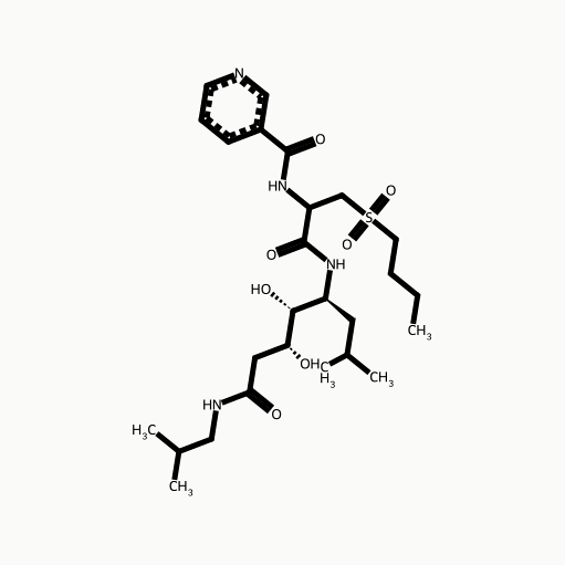 CCCCS(=O)(=O)CC(NC(=O)c1cccnc1)C(=O)N[C@@H](CC(C)C)[C@@H](O)[C@H](O)CC(=O)NCC(C)C